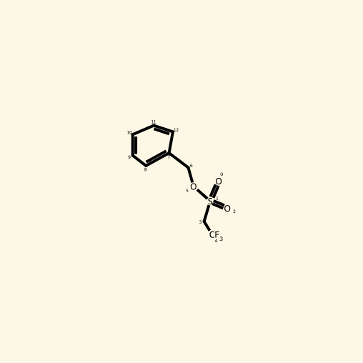 O=S(=O)(CC(F)(F)F)OCc1ccccc1